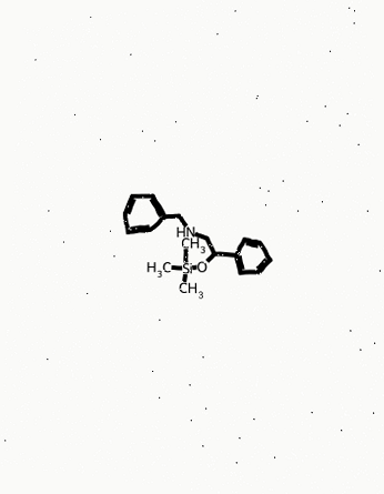 C[Si](C)(C)OC(CNCc1ccccc1)c1ccccc1